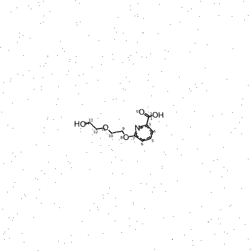 O=C(O)c1cccc(OCCOCCO)n1